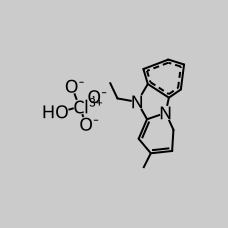 CCN1C2=CC(C)=CCN2c2ccccc21.[O-][Cl+3]([O-])([O-])O